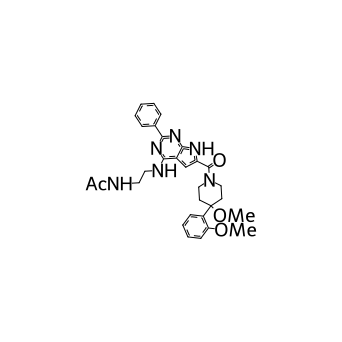 COc1ccccc1C1(OC)CCN(C(=O)c2cc3c(NCCNC(C)=O)nc(-c4ccccc4)nc3[nH]2)CC1